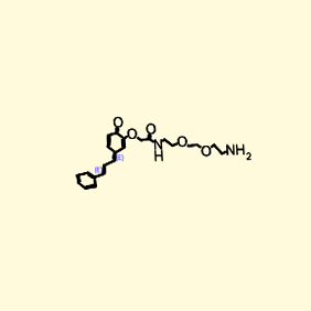 NCCOCCOCCNC(=O)COC1=C/C(=C/C=C/c2ccccc2)C=CC1=O